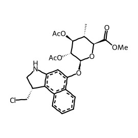 COC(=O)[C@H]1O[C@@H](Oc2cc3c(c4ccccc24)[C@H](CCl)CN3)[C@H](OC(C)=O)[C@@H](OC(C)=O)[C@@H]1C